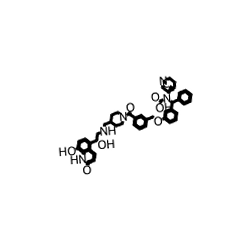 O=C(c1cccc(COc2cccc(C(c3ccccc3)N(C(=O)O)C3CN4CCC3CC4)c2)c1)N1CCC(CNCC(O)c2ccc(O)c3[nH]c(=O)ccc23)CC1